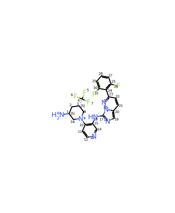 N[C@H]1C[C@H](C(F)(F)F)CN(c2ccncc2Nc2ncc3ccc(-c4c(F)cccc4F)nn23)C1